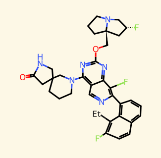 CCc1c(F)ccc2cccc(-c3ncc4c(N5CCCC6(CNC(=O)C6)C5)nc(OC[C@@]56CCCN5C[C@H](F)C6)nc4c3F)c12